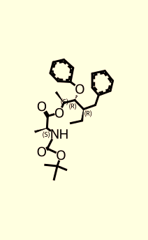 CC[C@H](Cc1ccccc1)[C@@H](Oc1ccccc1)[C@H](C)OC(=O)[C@H](C)NC(=O)OC(C)(C)C